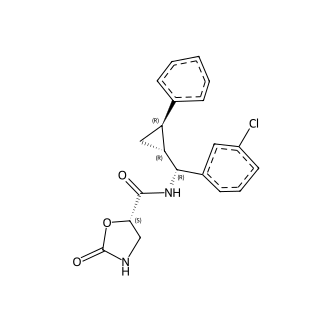 O=C1NC[C@@H](C(=O)N[C@@H](c2cccc(Cl)c2)[C@@H]2C[C@H]2c2ccccc2)O1